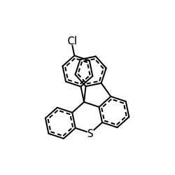 Clc1ccc(C23c4ccccc4Sc4cccc(c42)-c2ccccc23)cc1